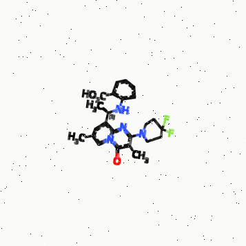 Cc1cc([C@@H](C)Nc2ccccc2C(=O)O)c2nc(N3CCC(F)(F)CC3)c(C)c(=O)n2c1